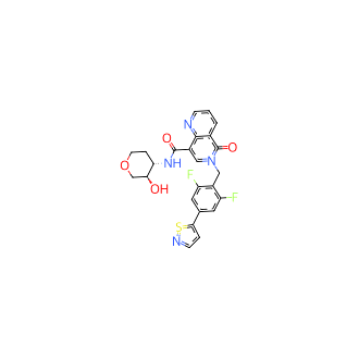 O=C(N[C@H]1CCOC[C@@H]1O)c1cn(Cc2c(F)cc(-c3ccns3)cc2F)c(=O)c2cccnc12